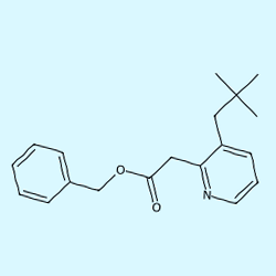 CC(C)(C)Cc1cccnc1CC(=O)OCc1ccccc1